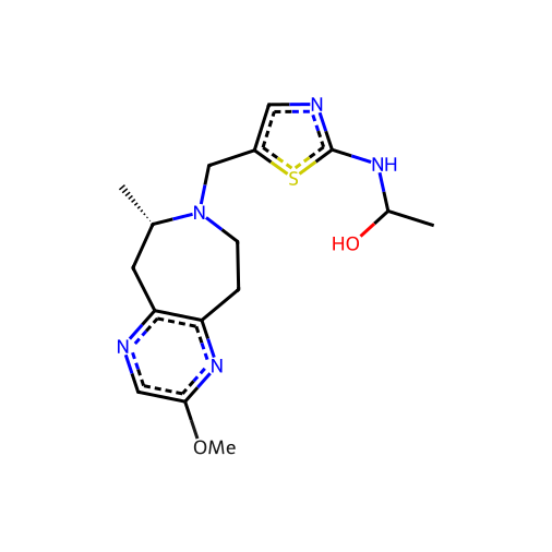 COc1cnc2c(n1)CCN(Cc1cnc(NC(C)O)s1)[C@@H](C)C2